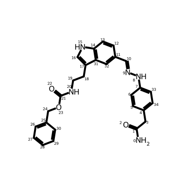 NC(=O)Cc1ccc(NN=Cc2ccc3[nH]cc(CCNC(=O)OCc4ccccc4)c3c2)cc1